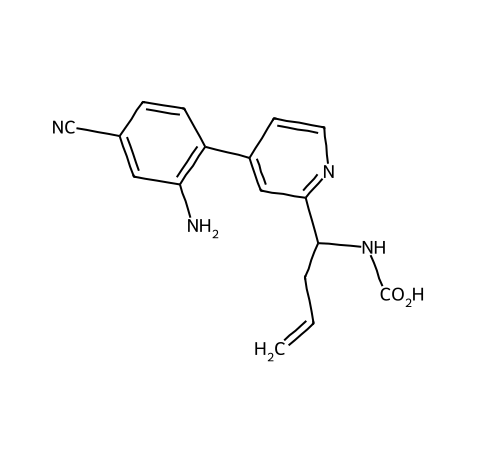 C=CCC(NC(=O)O)c1cc(-c2ccc(C#N)cc2N)ccn1